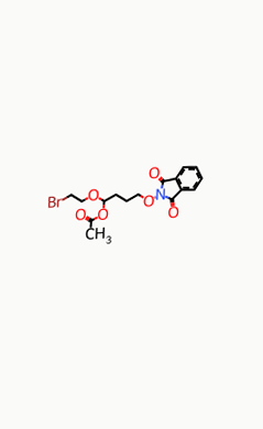 CC(=O)OC(CCCON1C(=O)c2ccccc2C1=O)OCCBr